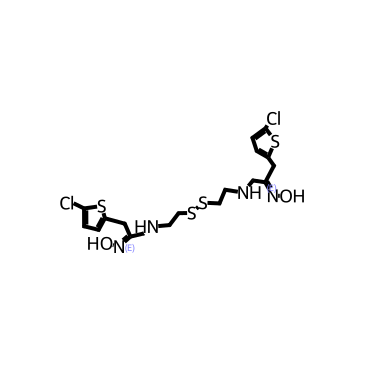 O/N=C(/CNCCSSCCNC/C(Cc1ccc(Cl)s1)=N/O)Cc1ccc(Cl)s1